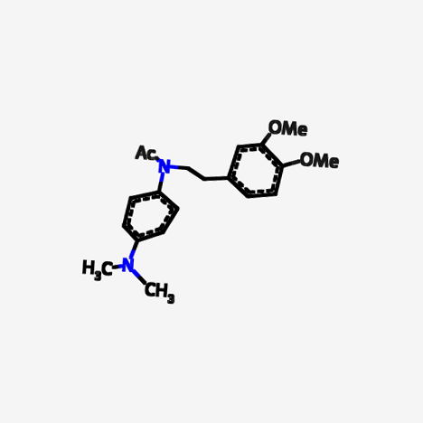 COc1ccc(CCN(C(C)=O)c2ccc(N(C)C)cc2)cc1OC